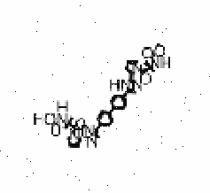 COC(=O)NC(C)(C)C(=O)N1CCCC1c1ncc(-c2ccc(-c3ccc(-c4cnc([C@@H]5CCCN5C(=O)C(C)(C)NC(=O)O)[nH]4)cc3)cc2)[nH]1